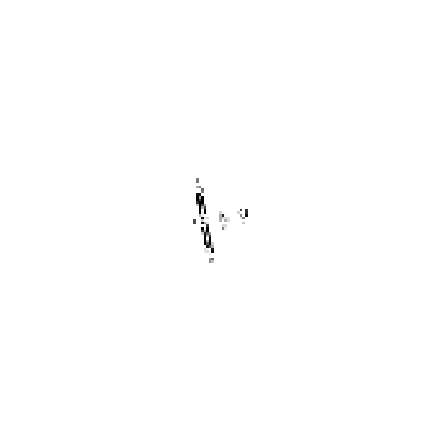 O=C=O.[N].[O]